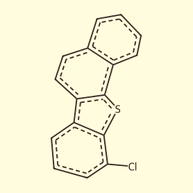 Clc1cccc2c1sc1c3ccccc3ccc21